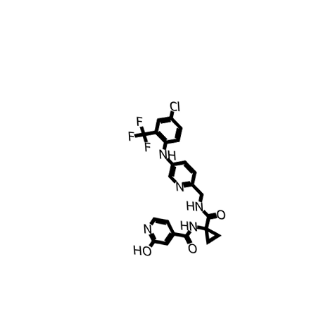 O=C(NC1(C(=O)NCc2ccc(Nc3ccc(Cl)cc3C(F)(F)F)cn2)CC1)c1ccnc(O)c1